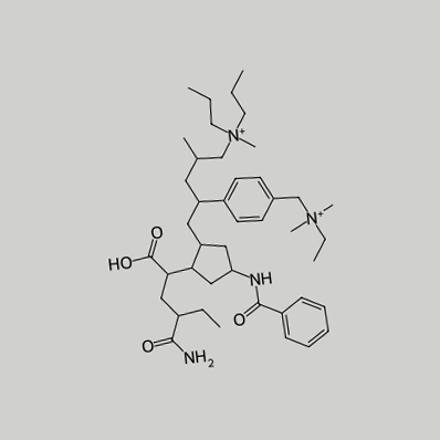 CCC[N+](C)(CCC)CC(C)CC(CC1CC(NC(=O)c2ccccc2)CC1C(CC(CC)C(N)=O)C(=O)O)c1ccc(C[N+](C)(C)CC)cc1